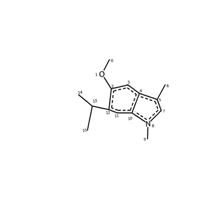 COc1cc2c(C)cn(C)c2cc1C(C)C